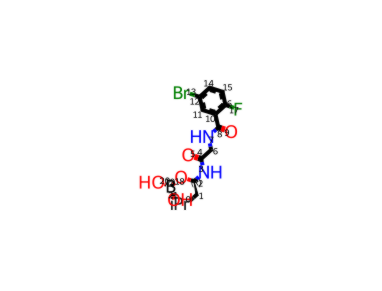 CC(C)C[C@H](NC(=O)CNC(=O)c1cc(Br)ccc1F)OB(O)O